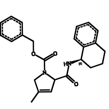 CC1=CC(C(=O)N[C@@H]2CCCc3ccccc32)N(C(=O)OCc2ccccc2)C1